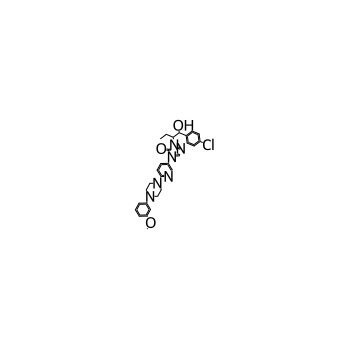 CCC(C(O)c1ccc(Cl)cc1)n1ncn(-c2ccc(N3CCN(c4cccc(OC)c4)CC3)nc2)c1=O